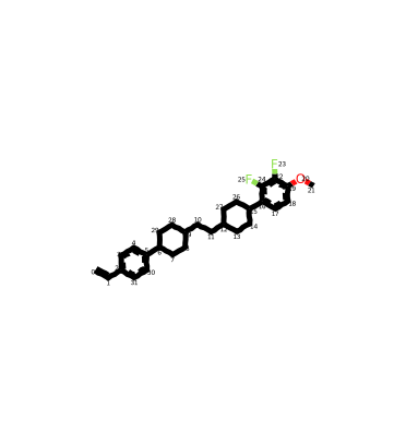 C=Cc1ccc(C2CCC(CCC3CCC(c4ccc(OC)c(F)c4F)CC3)CC2)cc1